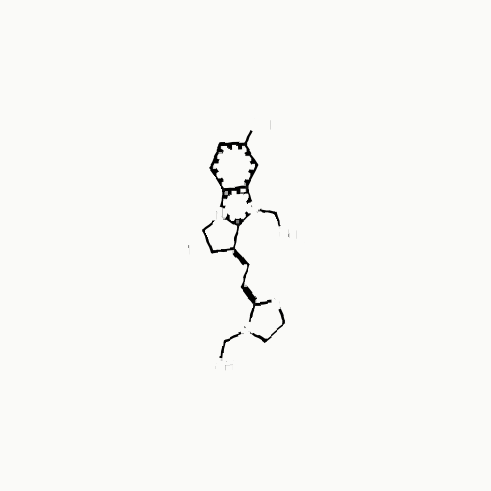 CCN1CCSC1=CC=C1CCn2c1[n+](CC)c1cc(C)ccc12.[I-]